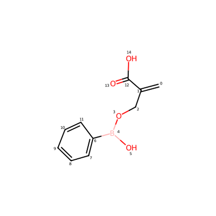 C=C(COB(O)c1ccccc1)C(=O)O